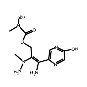 CCCCN(C)C(=O)OC/C(=C(/N)c1cnc(O)cn1)N(C)N